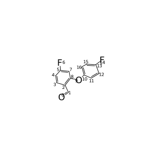 O=Cc1ccc(F)cc1Oc1ccc(F)cc1